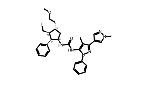 COCC[C@@H]1C[C@@H](NC(=O)Nc2c(C)c(-c3cnn(C)c3)nn2-c2ccccc2)[C@H](c2ccccc2)[C@H]1CF